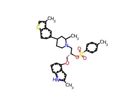 Cc1ccc(S(=O)(=O)O[C@H](COc2cccc3[nH]c(C)cc23)CN2CCC(c3ccc4scc(C)c4c3)CC2C)cc1